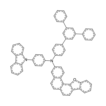 c1ccc(-c2cc(-c3ccccc3)cc(-c3ccc(N(c4ccc(-n5c6ccccc6c6ccccc65)cc4)c4ccc5c(ccc6ccc7c8ccccc8oc7c65)c4)cc3)c2)cc1